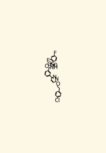 O=C(NS(=O)(=O)c1ccc(F)cc1F)c1cccc(-c2ccc(OCCc3ccc(Cl)cc3)nn2)c1